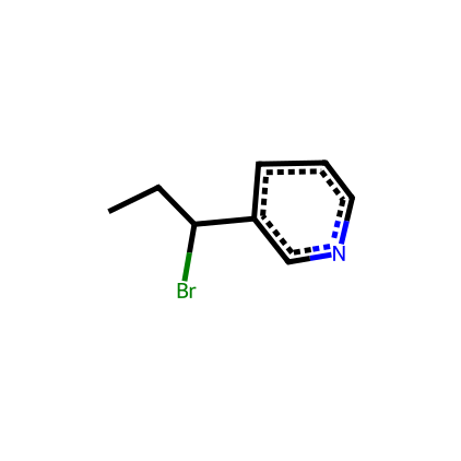 CCC(Br)c1cccnc1